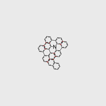 c1ccc(-c2ccccc2N(c2cc(-c3cccc4ccccc34)ccc2-c2ccccc2)c2ccccc2-c2cccc3cccc(-c4ccccc4)c23)cc1